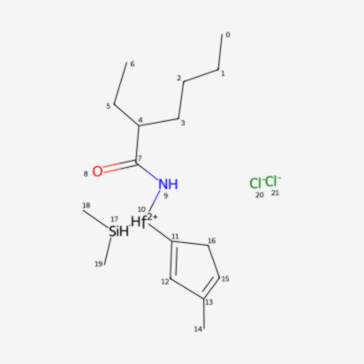 CCCCC(CC)C(=O)[NH][Hf+2]([C]1=CC(C)=CC1)[SiH](C)C.[Cl-].[Cl-]